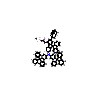 C=CC(I)Cc1cc(C23CC4CC(CC(C4)C2)C3)cc2c1-c1ccc(N(c3ccc(C4(c5cc#ccc5)c5ccccc5-c5ccccc54)cc3)c3ccc(C4(c5ccccc5)c5ccccc5-c5ccccc54)cc3)cc1C2(c1ccccc1)c1ccccc1